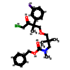 CN(CC(C)(C)COCC(C)(C(=O)CBr)c1cccc(I)c1)C(=O)OCc1ccccc1